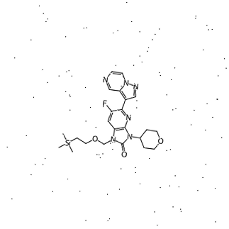 C[Si](C)(C)CCOCn1c(=O)n(C2CCOCC2)c2nc(-c3cnn4ccncc34)c(F)cc21